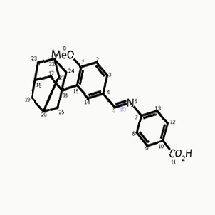 COc1ccc(/C=N/c2ccc(C(=O)O)cc2)cc1C12CC3CC(CC(C3)C1)C2